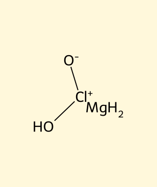 [MgH2].[O-][Cl+]O